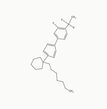 CCCCCCCC1(c2ccc(-c3ccc(C(C)(F)F)c(F)c3)cc2)CCCCC1